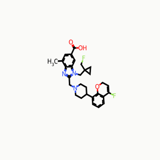 Cc1cc(C(=O)O)cc2c1nc(CN1CCC(c3cccc4c3OCC=C4F)CC1)n2CC1(CF)CC1